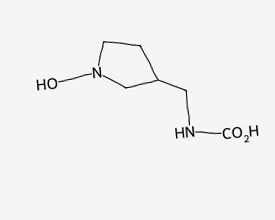 O=C(O)NCC1CCN(O)C1